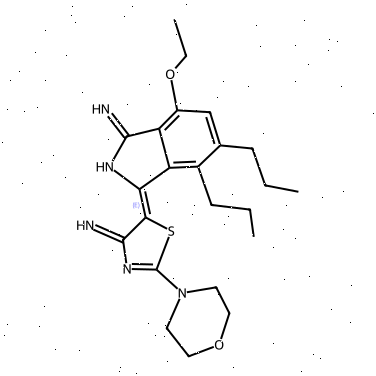 CCCc1cc(OCC)c2c(c1CCC)/C(=C1\SC(N3CCOCC3)=NC1=N)NC2=N